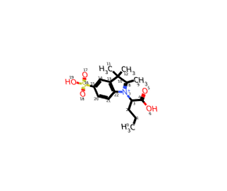 CCCC(C(=O)O)[N+]1=C(C)C(C)(C)c2cc(S(=O)(=O)O)ccc21